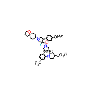 CC[C@H]1CN(C(=O)[C@]2(F)CN([C@H]3CC[C@@]4(CCCO4)CC3)C[C@H]2c2ccc(OC)cc2)C[C@@H]1c1ccc(C(F)(F)F)cc1N1CCC(C(=O)O)CC1